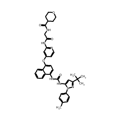 Cc1ccc(-n2nc(C(C)(C)C)cc2NC(=O)Nc2ccc(Oc3ccnc(NC(=O)CNC(=O)C4CCOCC4)c3)c3ccccc23)cc1